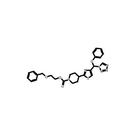 O=C(OCCOCc1ccccc1)N1CCC(c2nc(C(Oc3ccccc3)n3cnnn3)cs2)CC1